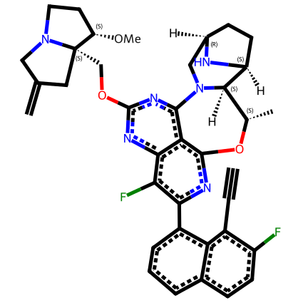 C#Cc1c(F)ccc2cccc(-c3nc4c5c(nc(OC[C@]67CC(=C)CN6CC[C@@H]7OC)nc5c3F)N3C[C@H]5CC[C@H](N5)[C@H]3[C@H](C)O4)c12